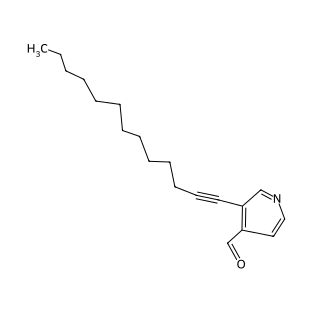 CCCCCCCCCCCC#Cc1cnccc1C=O